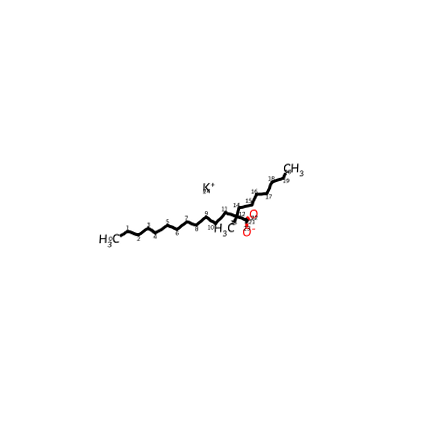 CCCCCCCCCCCCC(C)(CCCCCCC)C(=O)[O-].[K+]